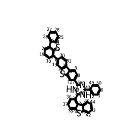 c1ccc(C2=NC(c3ccc4c(c3)sc3cc(-c5cccc6c5sc5ccccc56)ccc34)NC(c3cccc4sc5ccccc5c34)N2)cc1